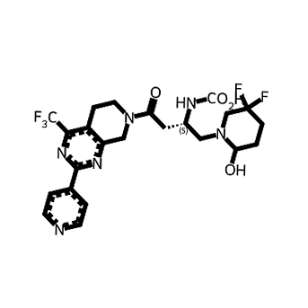 O=C(O)N[C@@H](CC(=O)N1CCc2c(nc(-c3ccncc3)nc2C(F)(F)F)C1)CN1CC(F)(F)CCC1O